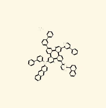 COc1cccc(-c2cccc(-c3ccc4c5cc(N(c6cccc(-c7ccccc7)c6)c6ccc7cc8ccccc8cc7c6)cc6oc7c(-c8ccnc(-c9cccc%10ccccc9%10)n8)ccc(c8cc(-c9cc(-c%10ccccc%10)ccn9)cc9oc3c4c98)c7c65)c2)c1